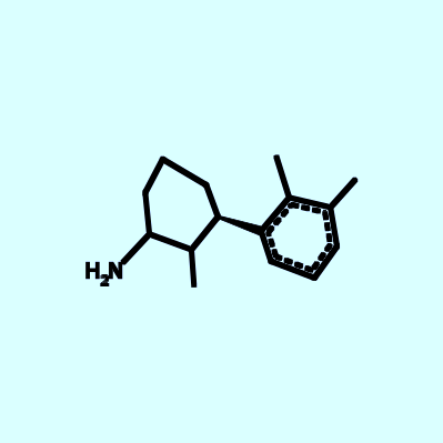 Cc1cccc([C@@H]2CCCC(N)C2C)c1C